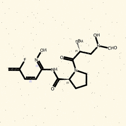 C=C(F)/C=C\C(=N\O)NC(=O)[C@@H]1CCCN1C(=O)[C@H](CCCC)CN(O)C=O